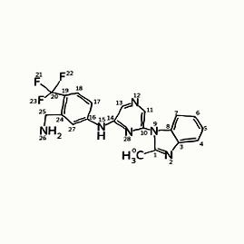 Cc1nc2ccccc2n1-c1cncc(Nc2ccc(C(F)(F)F)c(CN)c2)n1